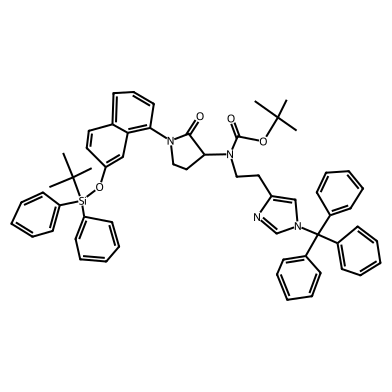 CC(C)(C)OC(=O)N(CCc1cn(C(c2ccccc2)(c2ccccc2)c2ccccc2)cn1)C1CCN(c2cccc3ccc(O[Si](c4ccccc4)(c4ccccc4)C(C)(C)C)cc23)C1=O